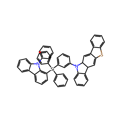 C1=c2sc3ccccc3c2=CC2C1c1ccccc1N2c1cccc([Si](c2ccccc2)(c2ccccc2)c2cccc3c4ccccc4n(-c4ccccc4)c23)c1